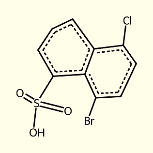 O=S(=O)(O)c1cccc2c(Cl)ccc(Br)c12